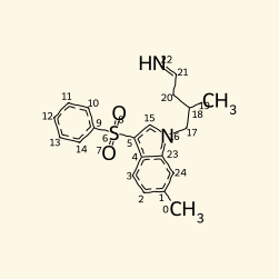 Cc1ccc2c(S(=O)(=O)c3ccccc3)cn(CC(C)CC=N)c2c1